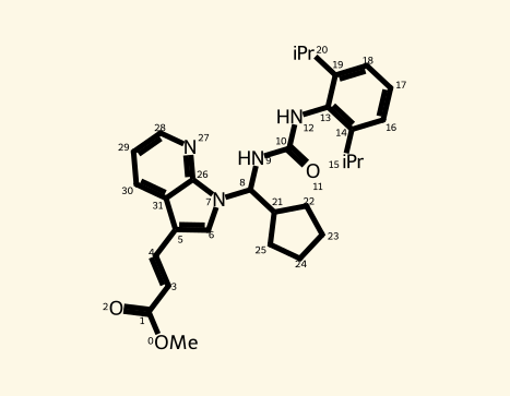 COC(=O)C=Cc1cn(C(NC(=O)Nc2c(C(C)C)cccc2C(C)C)C2CCCC2)c2ncccc12